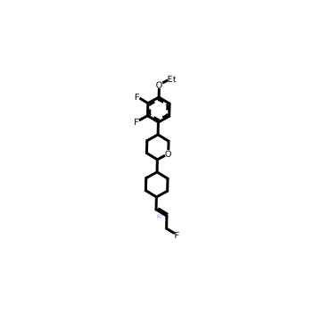 CCOc1ccc(C2CCC(C3CCC(/C=C/CF)CC3)OC2)c(F)c1F